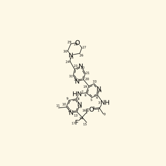 CC(=O)Nc1cc(Nc2cc(C)nc(C(C)(F)F)n2)c(-c2cnc(CN3CCOCC3)cn2)cn1